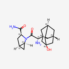 NC(=O)[C@@H]1C[C@@H]2C[C@@H]2N1C(=O)[C@@H](N)[C@@]12C[C@@H]3C[C@@H](C[C@](O)(C3)C1)C2